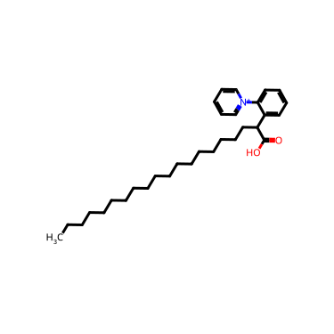 CCCCCCCCCCCCCCCCCCC(C(=O)O)c1ccccc1-[n+]1ccccc1